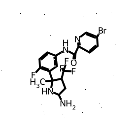 CC1(c2cc(NC(=O)c3ccc(Br)cn3)ccc2F)NC(N)CC1C(F)(F)F